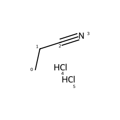 CCC#N.Cl.Cl